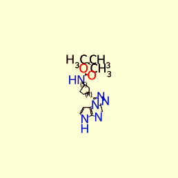 CC(C)(C)OC(=O)N[C@H]1CC[C@@H](c2nnc3cnc4[nH]ccc4n23)C1